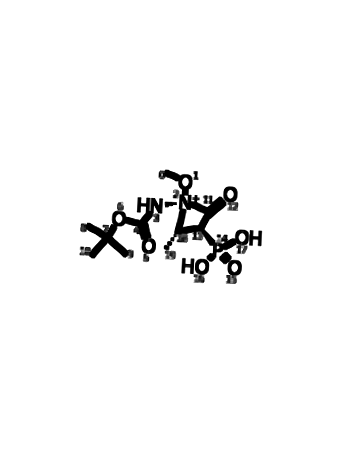 CO[N@@+]1(NC(=O)OC(C)(C)C)C(=O)[C@@H](P(=O)(O)O)[C@@H]1C